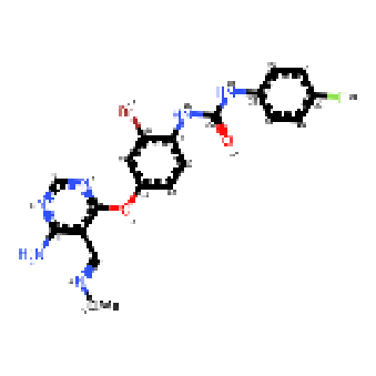 CO/N=C/c1c(N)ncnc1Oc1ccc(NC(=O)Nc2ccc(F)cc2)c(Br)c1